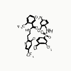 O=C(NCCc1ncc(C(F)(F)F)cc1Cl)c1ccccc1C(F)(F)F.O=[N+]([O-])c1ccc(NS(=O)(=O)c2ccc(Cl)c(C(F)(F)F)c2)c(Cl)c1